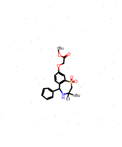 CCCCC1(CC)CS(=O)(=O)c2cc(OCC(=O)OC(C)(C)C)ccc2C(c2ccccc2)N1